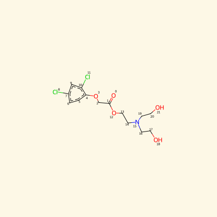 O=C(COc1ccc(Cl)cc1Cl)OCCN(CCO)CCO